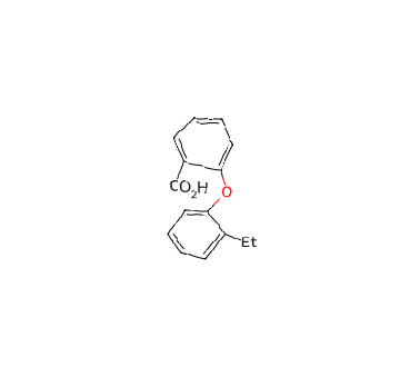 CCc1ccccc1Oc1ccccc1C(=O)O